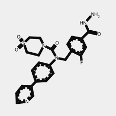 NNC(=O)c1ccc(CN(C(=O)N2CCS(=O)(=O)CC2)c2ccc(-c3cccnc3)cc2)c(F)c1